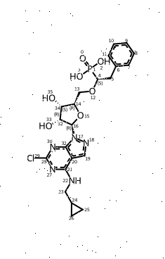 O=P(O)(O)[C@@H](Cc1ccccc1)OC[C@H]1O[C@@H](n2ncc3c(NCC4CC4)nc(Cl)nc32)[C@H](O)[C@@H]1O